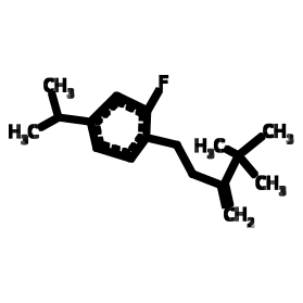 C=C(CCc1ccc(C(C)C)cc1F)C(C)(C)C